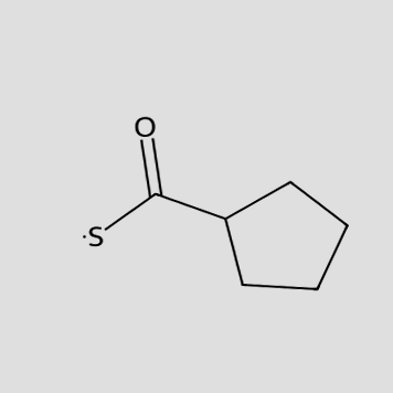 O=C([S])C1CCCC1